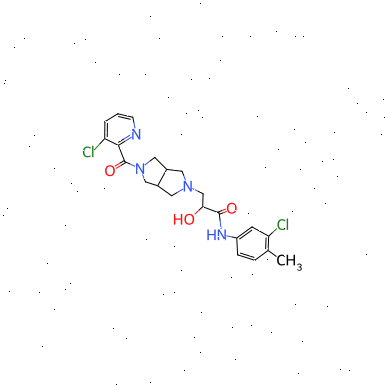 Cc1ccc(NC(=O)C(O)CN2CC3CN(C(=O)c4ncccc4Cl)CC3C2)cc1Cl